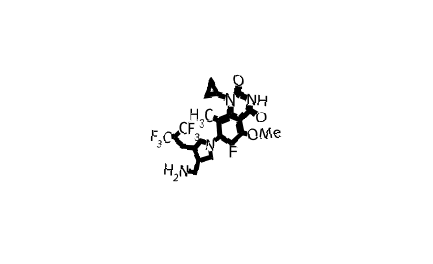 COC1=c2c(=O)[nH]c(=O)n(C3CC3)c2=C(C)C(N2CC(CN)C(CC(C(F)(F)F)C(F)(F)F)C2)C1F